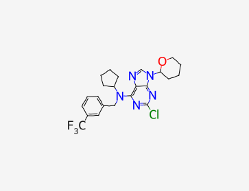 FC(F)(F)c1cccc(CN(c2nc(Cl)nc3c2ncn3C2CCCCO2)C2CCCC2)c1